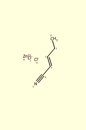 CCC=CC#N.[Cl-].[Cl-].[Zn+2]